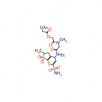 CCN(C(=O)CN(C)C(=O)COC(=O)COC(C)=O)[C@H]1C=C(S(N)(=O)=O)SC2=C1C[C@H](C)S2(=O)=O